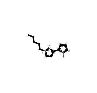 CCCCCn1ccc(-c2ccc[nH]2)n1